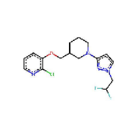 FC(F)Cn1ccc(N2CCCC(COc3cccnc3Cl)C2)n1